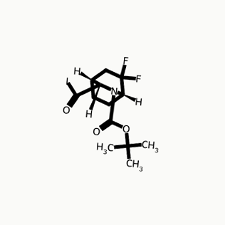 CC(C)(C)OC(=O)N1[C@H](C(=O)I)[C@@H]2CC[C@H]1C(F)(F)C2